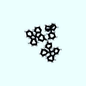 c1ccc(C2(c3ccc(N(c4ccc(C5(c6ccccc6)c6ccccc6-c6ccccc65)cc4)c4cccc(C56CCC7CC(CC5C7)C6)c4)cc3)c3ccccc3-c3ccccc32)cc1